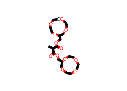 CC(C(=O)OCC1COCCOCCOCCO1)C(=O)OCC1COCCOCCOCCO1